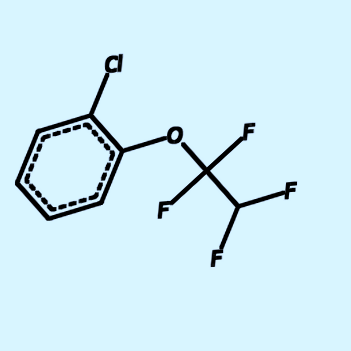 FC(F)C(F)(F)Oc1ccccc1Cl